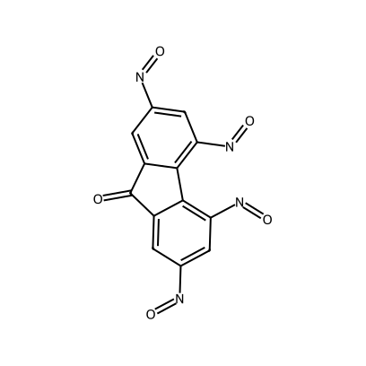 O=Nc1cc(N=O)c2c(c1)C(=O)c1cc(N=O)cc(N=O)c1-2